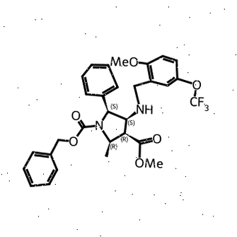 COC(=O)[C@@H]1[C@H](NCc2cc(OC(F)(F)F)ccc2OC)[C@H](c2ccccc2)N(C(=O)OCc2ccccc2)[C@@H]1C